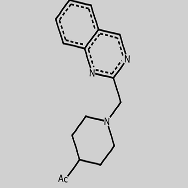 CC(=O)C1CCN(Cc2ncc3ccccc3n2)CC1